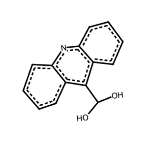 OC(O)c1c2ccccc2nc2ccccc12